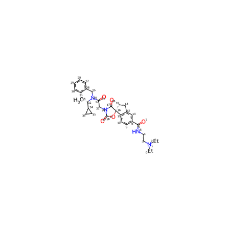 CCN(CC)CCNC(=O)c1ccc2c(c1)CC[C@@]21OC(=O)N(CC(=O)N(Cc2ccccc2)[C@@H](C)C2CC2)C1=O